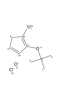 CC(C)(C)OC1=[C]([Ti+2])CC=C1.[Cl-].[Cl-]